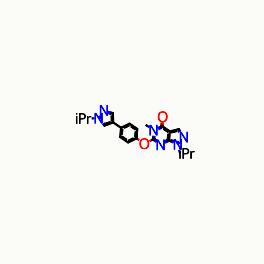 CC(C)n1cc(-c2ccc(Oc3nc4c(cnn4C(C)C)c(=O)n3C)cc2)cn1